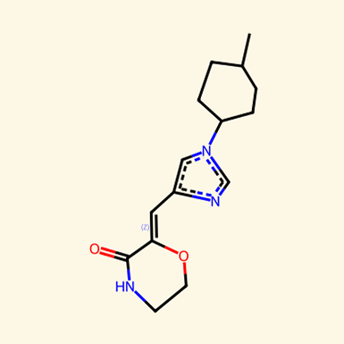 CC1CCC(n2cnc(/C=C3\OCCNC3=O)c2)CC1